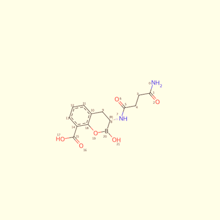 NC(=O)CCC(=O)N[C@H]1Cc2cccc(C(=O)O)c2OB1O